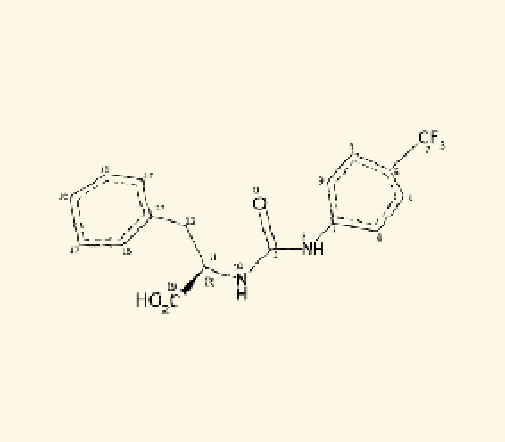 O=C(Nc1ccc(C(F)(F)F)cc1)N[C@H](Cc1ccccc1)C(=O)O